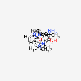 CC(C)(N)CO.CN(C)C(C)(OC(C)(N(C)C)N(C)C)N(C)C